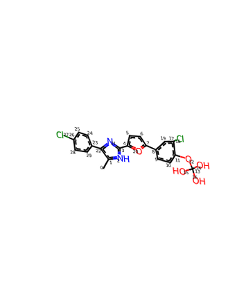 Cc1[nH]c(-c2ccc(-c3ccc(OC(O)(O)O)c(Cl)c3)o2)nc1-c1ccc(Cl)cc1